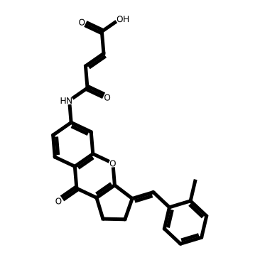 Cc1ccccc1C=C1CCc2c1oc1cc(NC(=O)C=CC(=O)O)ccc1c2=O